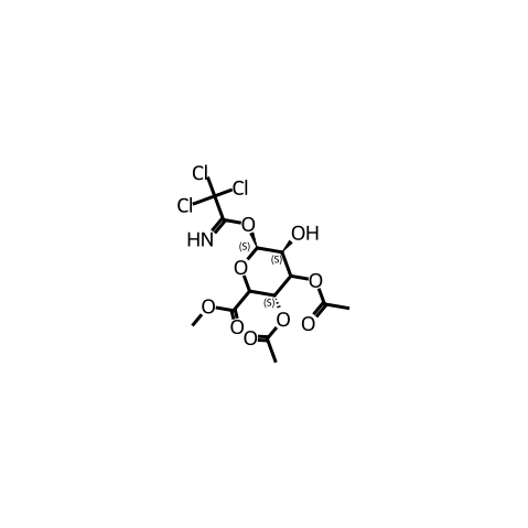 COC(=O)C1O[C@@H](OC(=N)C(Cl)(Cl)Cl)[C@@H](O)C(OC(C)=O)[C@@H]1OC(C)=O